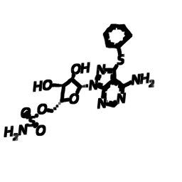 Nc1ncnc2c1c(Sc1ccccc1)nn2[C@@H]1O[C@H](COS(N)(=O)=O)[C@@H](O)[C@H]1O